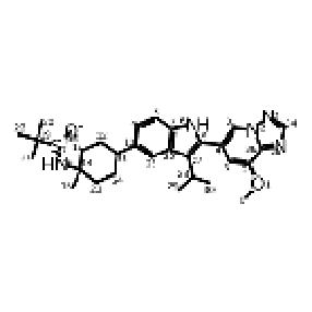 COc1cc(-c2[nH]c3ccc(C4CCC(C)(N[S+]([O-])C(C)(C)C)CC4)cc3c2C(C)C)cn2ncnc12